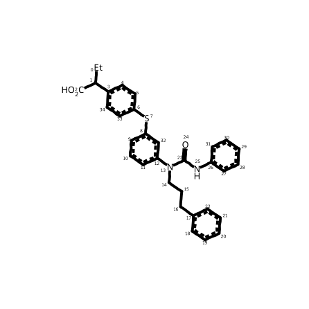 CCC(C(=O)O)c1ccc(Sc2cccc(N(CCCc3ccccc3)C(=O)Nc3ccccc3)c2)cc1